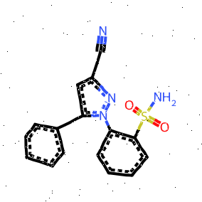 N#Cc1cc(-c2ccccc2)n(-c2ccccc2S(N)(=O)=O)n1